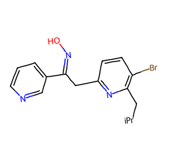 CC(C)Cc1nc(CC(=NO)c2cccnc2)ccc1Br